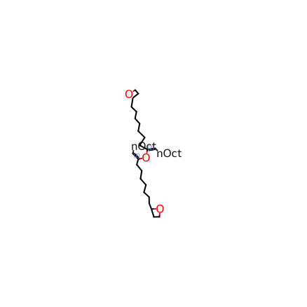 CCCCCCCC/C=C(/CCCCCCCC1CCO1)O/C(=C\CCCCCCCC)CCCCCCCC1CCO1